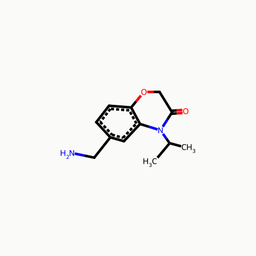 CC(C)N1C(=O)COc2ccc(CN)cc21